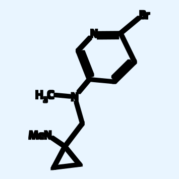 CNC1(CN(C)c2ccc(Br)nc2)CC1